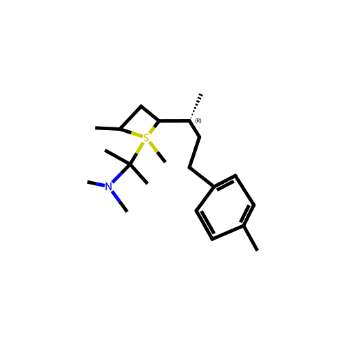 Cc1ccc(CC[C@@H](C)C2CC(C)S2(C)C(C)(C)N(C)C)cc1